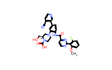 COc1cccc(F)c1-c1nccc(C(=O)Nc2ccc(-c3cnccc3C#N)cc2N2CCN(C(=O)O)[C@@H](CO)C2)n1